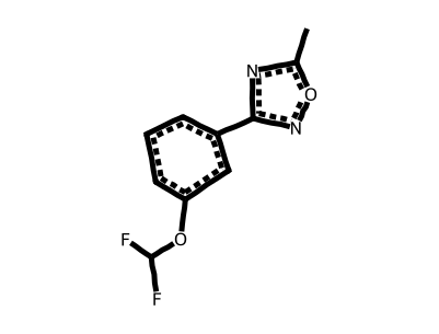 Cc1nc(-c2cccc(OC(F)F)c2)no1